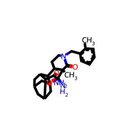 Cc1ccccc1CN1CCC(C2C3CC4CC(C3)C(C(N)=O)C2C4)C(C)(C(N)=O)C1=O